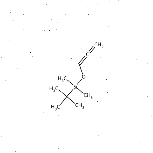 C=C=CO[Si](C)(C)C(C)(C)C